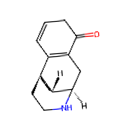 O=C1CC=CC2=C1C[C@H]1NCC[C@@]23CCCC[C@@H]13